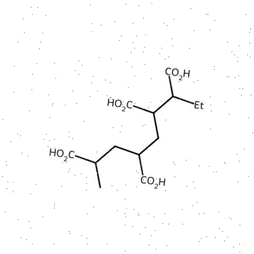 CCC(C(=O)O)C(CC(CC(C)C(=O)O)C(=O)O)C(=O)O